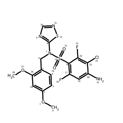 COc1ccc(CN(c2ncns2)S(=O)(=O)c2c(F)cc(N)c(Cl)c2F)c(OC)c1